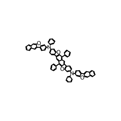 c1ccc(-c2c3cc4c(oc5cc(N(c6ccccc6)c6ccc7c(c6)oc6cc8ccccc8cc67)ccc54)c(-c4ccccc4)c3cc3c2oc2cc(N(c4ccccc4)c4ccc5c(c4)oc4cc6ccccc6cc45)ccc23)cc1